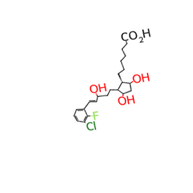 O=C(O)CCCCCC[C@@H]1C(CCC(O)/C=C/c2cccc(Cl)c2F)[C@H](O)C[C@@H]1O